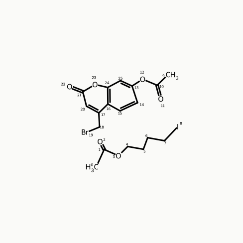 CC(=O)OCCCCI.CC(=O)Oc1ccc2c(CBr)cc(=O)oc2c1